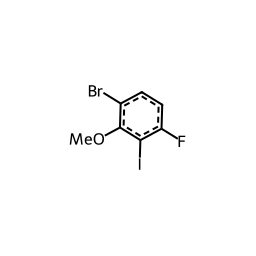 COc1c(Br)ccc(F)c1I